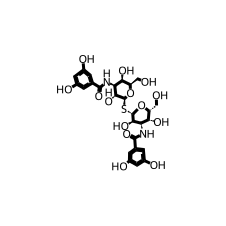 O=C(N[C@H]1[C@@H](O)[C@@H](CO)O[C@@H](S[C@@H]2O[C@H](CO)[C@H](O)[C@H](NC(=O)c3cc(O)cc(O)c3)[C@H]2O)[C@@H]1O)c1cc(O)cc(O)c1